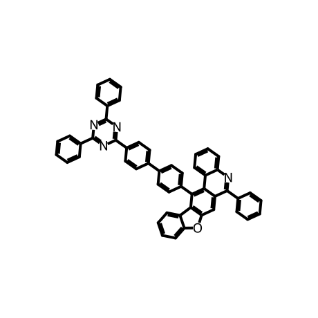 c1ccc(-c2nc(-c3ccccc3)nc(-c3ccc(-c4ccc(-c5c6c(cc7c(-c8ccccc8)nc8ccccc8c57)oc5ccccc56)cc4)cc3)n2)cc1